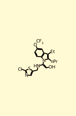 CCCc1c(CC)c2cc(OC(F)(F)F)ccc2n1/C(=C\O)NCc1cnc(Cl)s1